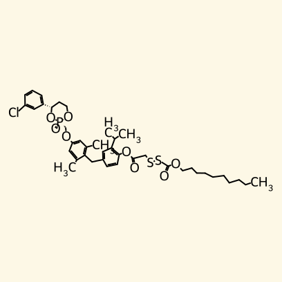 CCCCCCCCCCOC(=O)SSCC(=O)Oc1ccc(Cc2c(C)cc(OC[P@@]3(=O)OCC[C@@H](c4cccc(Cl)c4)O3)cc2C)cc1C(C)C